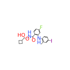 Cc1cc(I)ccc1Nc1cc(F)ccc1C(=O)NOC(O)C1CCC1